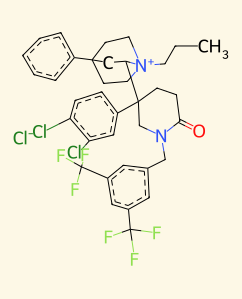 CCC[N+]12CCC(c3ccccc3)(CC1)CC2C1(c2ccc(Cl)c(Cl)c2)CCC(=O)N(Cc2cc(C(F)(F)F)cc(C(F)(F)F)c2)C1.[Cl-]